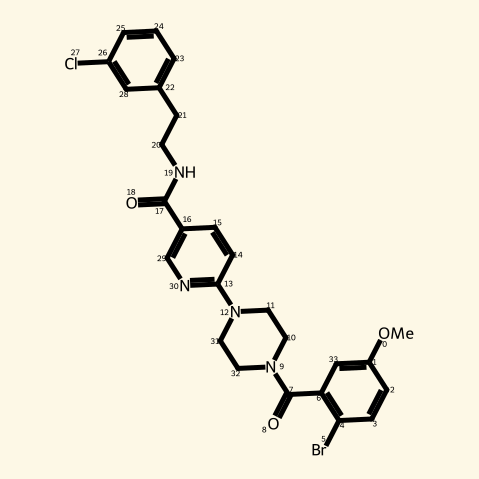 COc1ccc(Br)c(C(=O)N2CCN(c3ccc(C(=O)NCCc4cccc(Cl)c4)cn3)CC2)c1